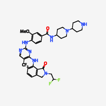 COc1cc(C(=O)NC2CCN(C3CCNCC3)CC2)ccc1Nc1ncc(C(F)(F)F)c(Nc2cccc3c2C(=O)N(CC(F)F)C3)n1